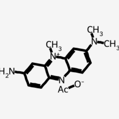 CC(=O)[O-].CN(C)c1ccc2nc3ccc(N)cc3[n+](C)c2c1